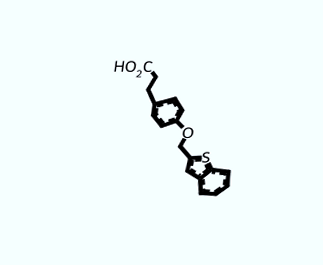 O=C(O)CCc1ccc(OCc2cc3ccccc3s2)cc1